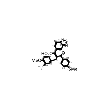 COc1ccc(CC(C(=O)c2ccc(SC)cc2)=C(C(=O)O)c2ccc3nsnc3c2)cc1C